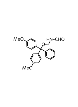 COc1ccc(C(OCNC=O)(c2ccccc2)c2ccc(OC)cc2)cc1